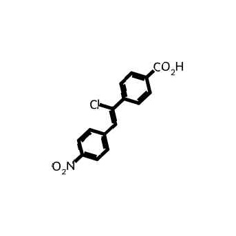 O=C(O)c1ccc(/C(Cl)=C/c2ccc([N+](=O)[O-])cc2)cc1